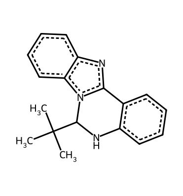 CC(C)(C)C1Nc2ccccc2-c2nc3ccccc3n21